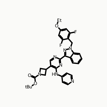 CCOc1cc(F)c(Cn2nc(-c3ncc(C4CN(C(=O)OC(C)(C)C)C4)c(Nc4ccncc4)n3)c3ccccc32)c(F)c1